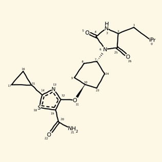 CC(C)CC1NC(=O)N([C@H]2CC[C@H](Oc3nc(C4CC4)sc3C(N)=O)CC2)C1=O